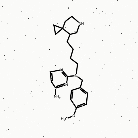 COc1ccc(CN(CCCCC2CNCCC23CC3)c2nccc(N)n2)cc1